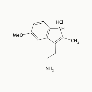 COc1ccc2[nH]c(C)c(CCN)c2c1.Cl